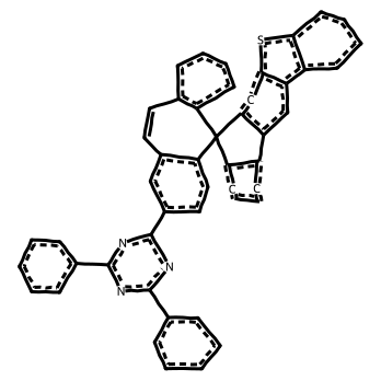 C1=Cc2cc(-c3nc(-c4ccccc4)nc(-c4ccccc4)n3)ccc2C2(c3ccccc31)c1ccccc1-c1cc3c(cc12)sc1ccccc13